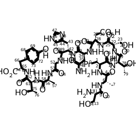 CC(C)C[C@H](NC(=O)[C@H](C)NC(=O)[C@@H](N)CO)C(=O)N[C@H](C(=O)N[C@@H](CO)C(=O)N[C@@H](CC(=O)O)C(=O)N[C@@H](CC(N)=O)C(=O)N[C@@H](Cc1c[nH]cn1)C(=O)NCC(=O)N[C@@H](C)C(=O)N[C@H](C(=O)N[C@@H](Cc1ccc(O)cc1)C(=O)O)[C@@H](C)O)[C@@H](C)O